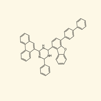 c1ccc(-c2ccc(-c3ccc(C4NC(c5cc6ccccc6c6ccccc56)=NC(c5ccccc5)N4)c4c3oc3ccccc34)cc2)cc1